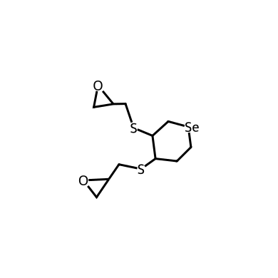 C1CC(SCC2CO2)C(SCC2CO2)C[Se]1